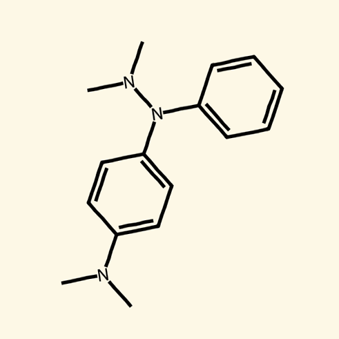 CN(C)c1ccc(N(c2ccccc2)N(C)C)cc1